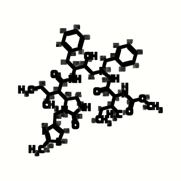 CCC(C)C(NC(=O)OC)C(=O)NN(Cc1ccccc1)CC(O)C(Cc1ccccc1)NC(=O)C(C(C)CC)C1CNC(=O)N1Cc1csc(C)n1